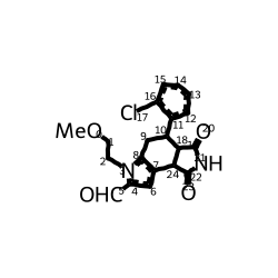 COCCn1c(C=O)cc2c1CC(c1ccccc1Cl)C1C(=O)NC(=O)C21